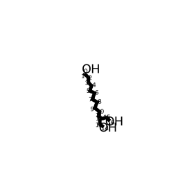 OCCCCCCCCCCCC(CO)CO